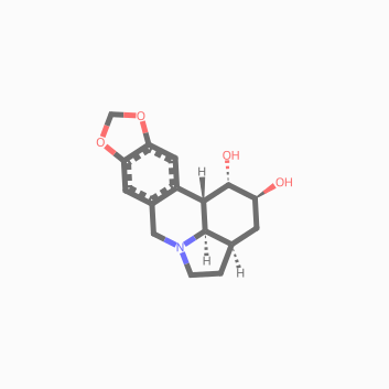 O[C@H]1[C@H]2c3cc4c(cc3CN3CC[C@H](C[C@@H]1O)[C@H]23)OCO4